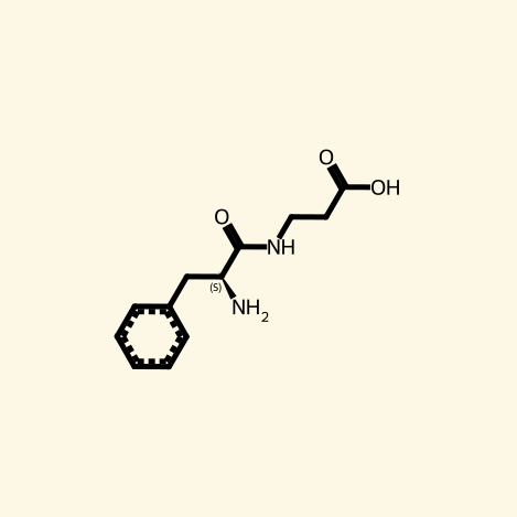 N[C@@H](Cc1ccccc1)C(=O)NCCC(=O)O